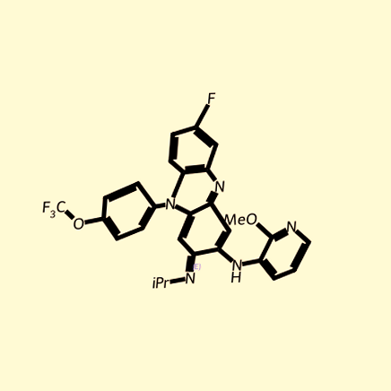 COc1ncccc1Nc1cc2nc3cc(F)ccc3n(-c3ccc(OC(F)(F)F)cc3)c-2c/c1=N\C(C)C